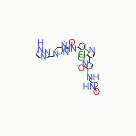 COc1nc(-c2ccnc(-c3cccc(NC(=O)c4nc5c(n4C)CCN(Cc4cn6c(n4)NCC=C6)C5)c3Cl)c2Cl)ccc1CNCC1CCC(=O)N1